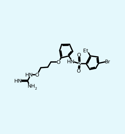 CCc1cc(Br)ccc1S(=O)(=O)Nc1ccccc1OCCCONC(=N)N